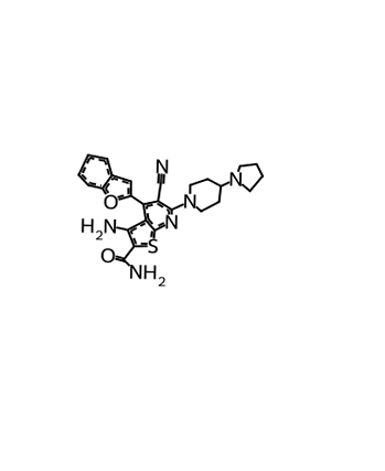 N#Cc1c(N2CCC(N3CCCC3)CC2)nc2sc(C(N)=O)c(N)c2c1-c1cc2ccccc2o1